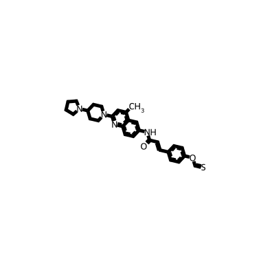 Cc1cc(N2CCC(N3CCCC3)CC2)nc2ccc(NC(=O)C=Cc3ccc(OC=S)cc3)cc12